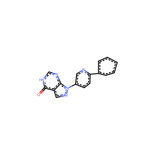 O=c1[nH]cnc2c1cnn2-c1ccc(-c2ccccc2)nc1